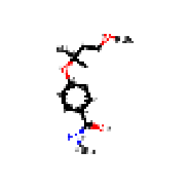 CCC(C)(CCOC(C)(C)C)Oc1ccc(C(=O)NC(C)(C)C)cc1